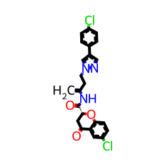 C=C(CCn1cc(-c2ccc(Cl)cc2)cn1)NC(=O)[C@H]1CC(=O)c2cc(Cl)ccc2O1